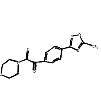 O=C(C(=O)N1CCOCC1)c1ccc(-c2noc(C(F)(F)F)n2)cc1